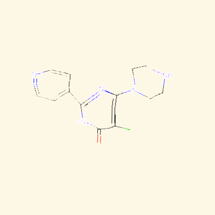 C[C@@H]1CN(c2nc(-c3ccncc3)[nH]c(=O)c2Cl)CCN1